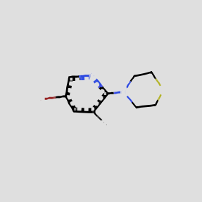 O=[N+]([O-])c1cc(Br)cnc1N1CCSCC1